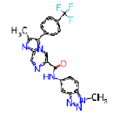 Cc1nc2cnc(C(=O)Nc3ccc4c(c3)nnn4C)cn2c1-c1ccc(C(F)(F)F)cc1